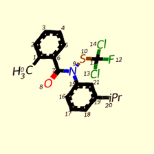 Cc1ccccc1C(=O)N(SC(F)(Cl)Cl)c1cccc(C(C)C)c1